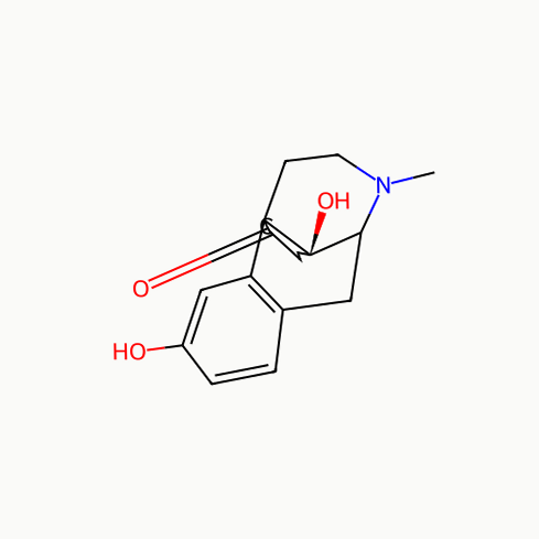 CN1CCC23CC(=O)CC[C@@]2(O)C1Cc1ccc(O)cc13